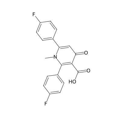 Cn1c(-c2ccc(F)cc2)cc(=O)c(C(=O)O)c1-c1ccc(F)cc1